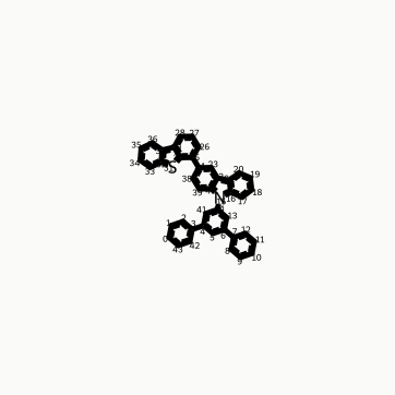 c1ccc(-c2cc(-c3ccccc3)cc(-n3c4ccccc4c4cc(-c5cccc6c5sc5ccccc56)ccc43)c2)cc1